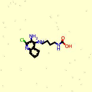 Nc1c(Cl)nc2ccccc2c1NCCCCNC(=O)O